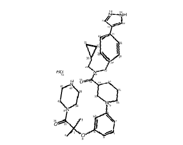 CC(C)(Oc1cccc(N2CCCC(C(=O)N(Cc3ccc(-c4cn[nH]c4)cc3)CC3CC3)C2)c1)C(=O)N1CCNCC1.Cl